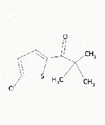 CC(C)(C)C(=O)c1ccc(Cl)s1